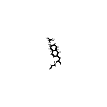 CCCOC(C)Cc1ccc2cc(OC(C)=O)ccc2c1